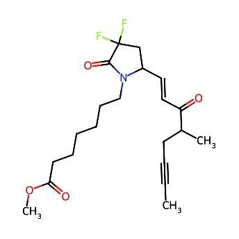 CC#CCC(C)C(=O)/C=C/C1CC(F)(F)C(=O)N1CCCCCCC(=O)OC